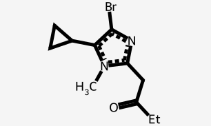 CCC(=O)Cc1nc(Br)c(C2CC2)n1C